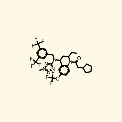 CCC1CC(N(Cc2cc(C(F)(F)F)cc(C(F)(F)F)c2)c2nnn(C)n2)c2cc(OC(F)(F)F)ccc2N1C(=O)CC1CCCC1